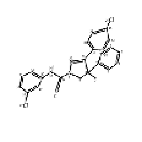 CC1(c2ccccc2)CN(C(=O)Nc2cccc(Cl)c2)N=C1c1ccc(Cl)cc1